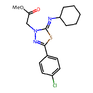 COC(=O)Cn1nc(-c2ccc(Cl)cc2)sc1=NC1CCCCC1